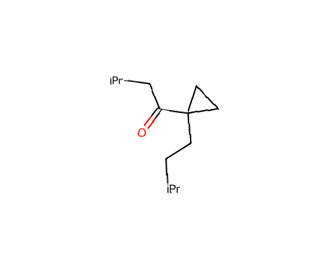 CC(C)CCC1(C(=O)CC(C)C)CC1